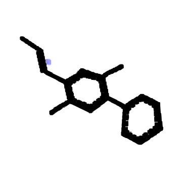 C/C=C/c1cc(C)c(-c2ccccc2)cc1C